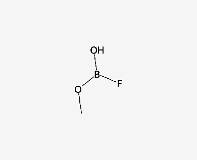 COB(O)F